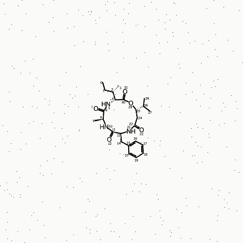 CC[C@H](C)[C@H]1NC(=O)[C@H](C)NC(=O)[C@H](Cc2ccccc2)NC(=O)C[C@@H](C(C)C)OC1=O